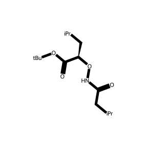 CC(C)CC(=O)NO[C@H](CC(C)C)C(=O)OC(C)(C)C